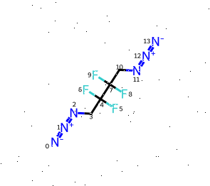 [N-]=[N+]=NCC(F)(F)C(F)(F)CN=[N+]=[N-]